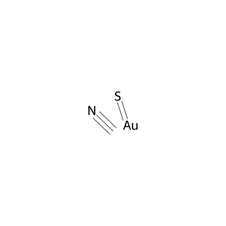 C#N.[S]=[Au]